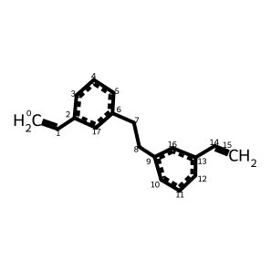 C=Cc1cccc(CCc2cccc(C=C)c2)c1